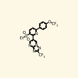 CCS(=O)(=O)c1ccc(-c2ccc(OC(F)(F)F)cc2)nc1-c1cnc2nc(C(F)(F)F)nn2c1